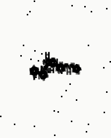 Fc1ccccc1-c1nccc2[nH]c(-c3n[nH]c4cnc(-c5cncc(CNCC6CCCC6)c5)cc34)nc12